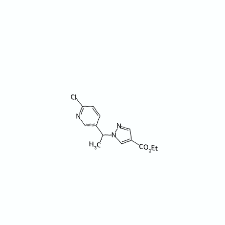 CCOC(=O)c1cnn(C(C)c2ccc(Cl)nc2)c1